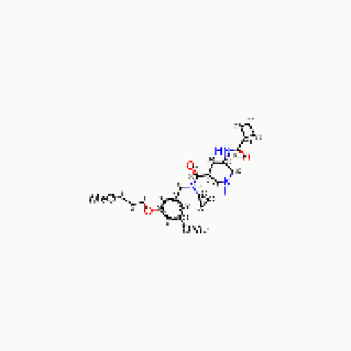 COCCCOc1cc(CN(C(=O)C2CNCC(NC(=O)C3CCC3)C2)C2CC2)cc(OC)c1